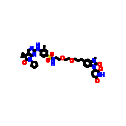 Cc1cc(S(=O)(=O)NCCOCCOCCCc2ccc3c(c2)n(C)c(=O)n3C2CCC(=O)NC2=O)ccc1Nc1ncc2c(n1)N(C1CCCC1)C(=O)C21CC1